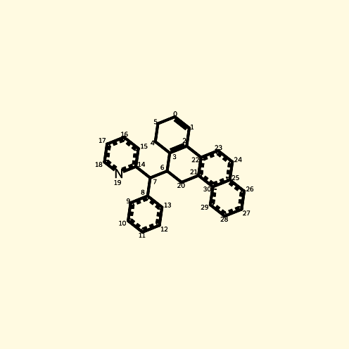 C1=CC2=C(CC1)C(C(c1ccccc1)c1ccccn1)Cc1c2ccc2ccccc12